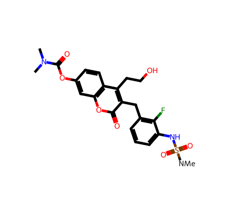 CNS(=O)(=O)Nc1cccc(Cc2c(CCO)c3ccc(OC(=O)N(C)C)cc3oc2=O)c1F